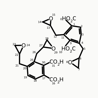 O=C(O)c1ccc(CC2CO2)c(C(=O)O)c1CC1CO1.O=C(O)c1ccc(CC2CO2)c(CC2CO2)c1C(=O)O